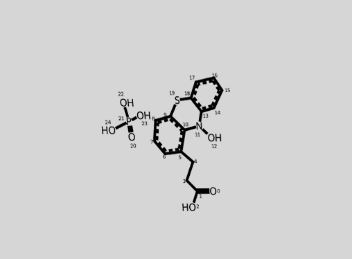 O=C(O)CCc1cccc2c1N(O)c1ccccc1S2.O=P(O)(O)O